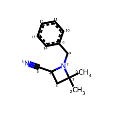 CC1(C)CC(C#N)N1Cc1ccccc1